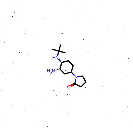 CC(C)(C)N[C@H]1CCC(N2CCCC2=O)C[C@@H]1N